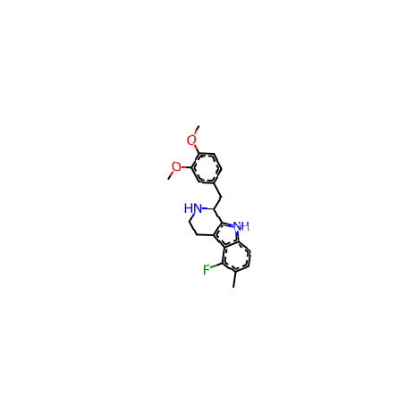 COc1ccc(CC2NCCc3c2[nH]c2ccc(C)c(F)c32)cc1OC